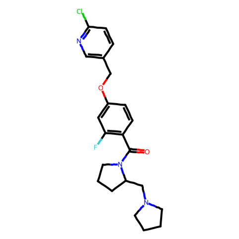 O=C(c1ccc(OCc2ccc(Cl)nc2)cc1F)N1CCCC1CN1CCCC1